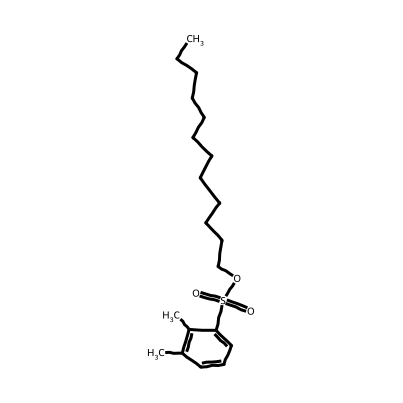 CCCCCCCCCCCCOS(=O)(=O)c1cccc(C)c1C